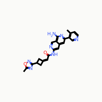 Cc1nc(C2CC(=CC(=O)Nc3cc4cc(-c5cnccc5C)nc(N)c4cn3)C2)no1